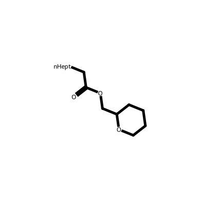 CCCCCCCCC(=O)OCC1CCCCO1